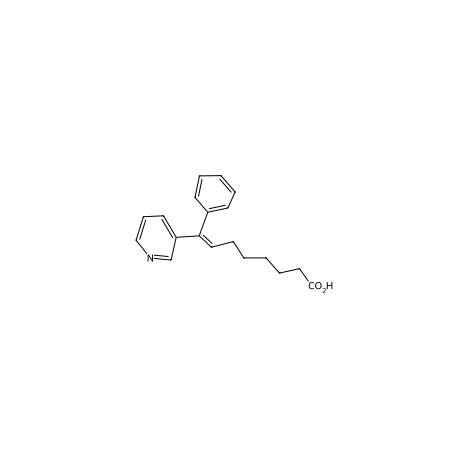 O=C(O)CCCCC/C=C(\c1ccccc1)c1cccnc1